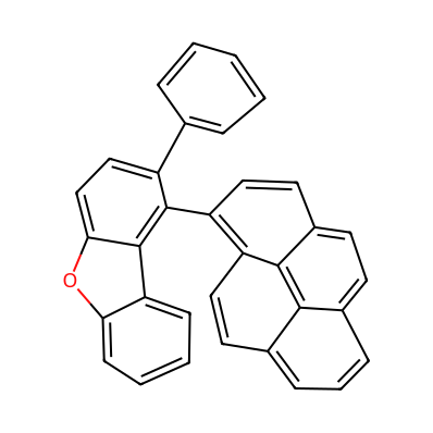 c1ccc(-c2ccc3oc4ccccc4c3c2-c2ccc3ccc4cccc5ccc2c3c45)cc1